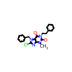 Cn1c(=O)n(CCc2ccccc2)c(=O)c2c1nc(Cl)n2Cc1ccccc1